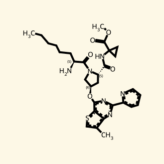 CCCCCC[C@H](N)C(=O)N1C[C@H](Oc2nc(-c3ccccn3)nc3c(C)csc23)C[C@H]1C(=O)NC1(C(=O)OC)CC1